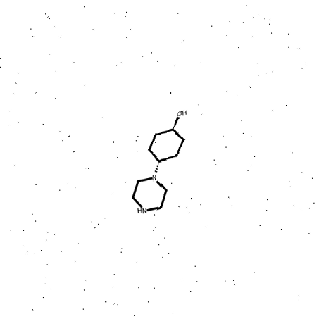 O[C@H]1CC[C@H](N2CCNCC2)CC1